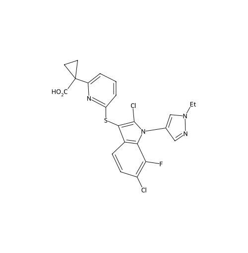 CCn1cc(-n2c(Cl)c(Sc3cccc(C4(C(=O)O)CC4)n3)c3ccc(Cl)c(F)c32)cn1